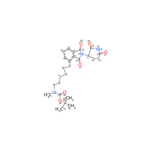 CN(CCCCCCc1cccc2c1C(=O)N(C1CCC(=O)NC1=O)C2=O)C(=O)OC(C)(C)C